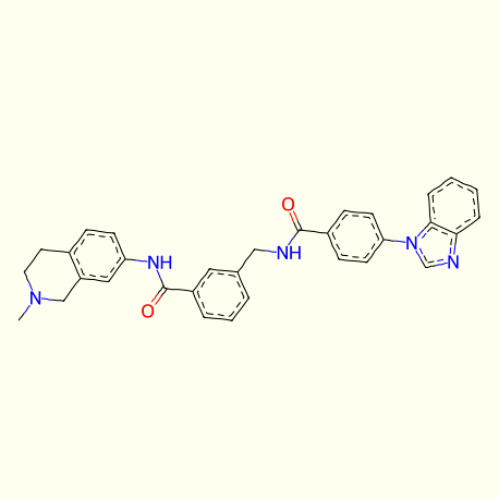 CN1CCc2ccc(NC(=O)c3cccc(CNC(=O)c4ccc(-n5cnc6ccccc65)cc4)c3)cc2C1